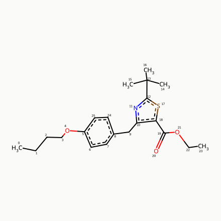 CCCCOc1ccc(Cc2nc(C(C)(C)C)sc2C(=O)OCC)cc1